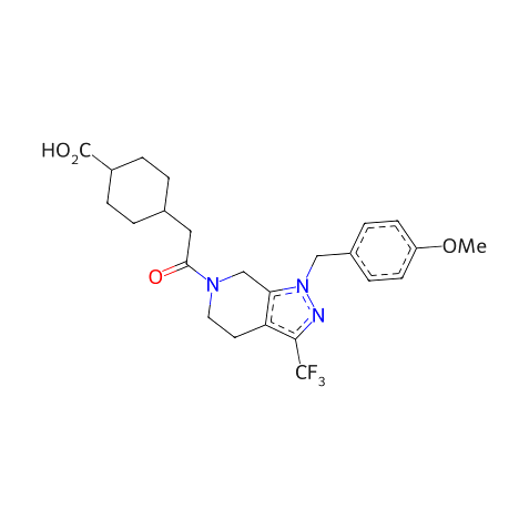 COc1ccc(Cn2nc(C(F)(F)F)c3c2CN(C(=O)CC2CCC(C(=O)O)CC2)CC3)cc1